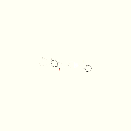 COc1cc2c(cc1OC)C(=O)C(CC1(F)CCN(CCc3ccccc3F)CC1)C2